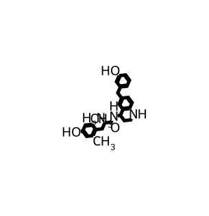 Cc1cc(O)cc(C)c1CC(N)C(=O)NC1CCNc2ccc(Cc3cccc(O)c3)cc21